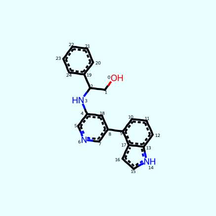 OCC(Nc1cncc(-c2cccc3[nH]ccc23)c1)c1ccccc1